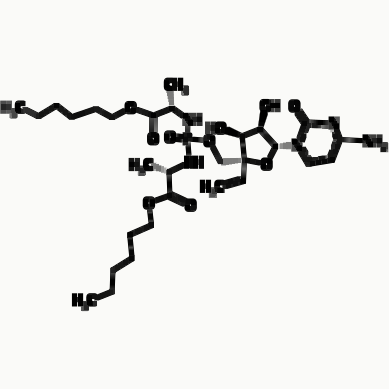 C=C[C@]1(COP(=O)(N[C@@H](C)C(=O)OCCCCCC)N[C@@H](C)C(=O)OCCCCCC)O[C@@H](n2ccc(N)nc2=O)[C@H](O)[C@@H]1O